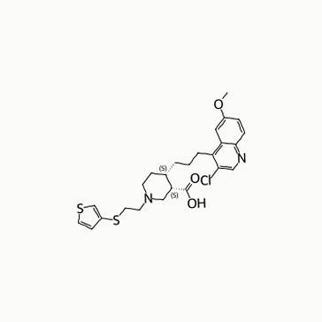 COc1ccc2ncc(Cl)c(CCC[C@H]3CCN(CCSc4ccsc4)C[C@H]3C(=O)O)c2c1